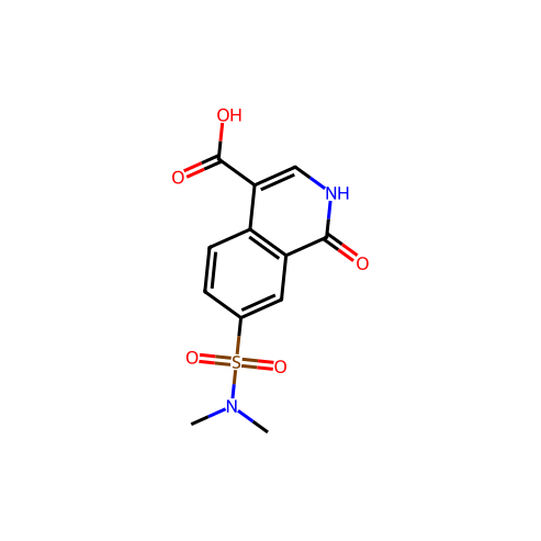 CN(C)S(=O)(=O)c1ccc2c(C(=O)O)c[nH]c(=O)c2c1